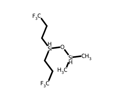 C[SiH](C)O[SiH](CCC(F)(F)F)CCC(F)(F)F